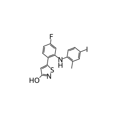 Cc1cc(I)ccc1Nc1cc(F)ccc1-c1cc(O)ns1